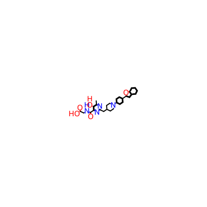 Cc1nc(CC2CCN(c3ccc(-c4cc5ccccc5o4)cc3)CC2)nc(C(=O)NCC(=O)O)c1O